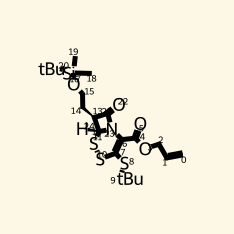 C=CCOC(=O)C1=C(SC(C)(C)C)SS[C@@H]2[C@@H](CCO[Si](C)(C)C(C)(C)C)C(=O)N12